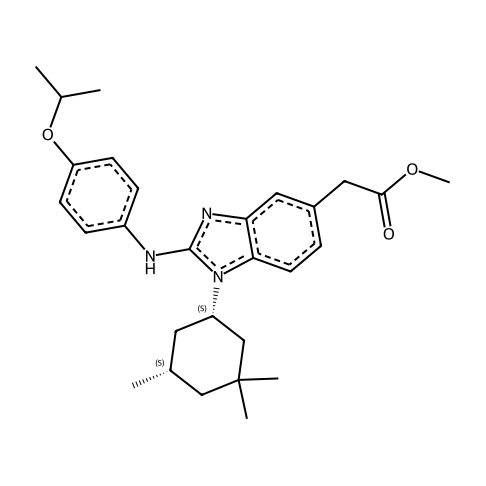 COC(=O)Cc1ccc2c(c1)nc(Nc1ccc(OC(C)C)cc1)n2[C@H]1C[C@@H](C)CC(C)(C)C1